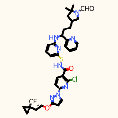 CC1(C)CC(CCC(Nc2cccc(SNC(=O)c3ccc(-n4ccc(OCCC5(C(F)(F)F)CC5)n4)nc3Cl)n2)c2ccccn2)CN1C=O